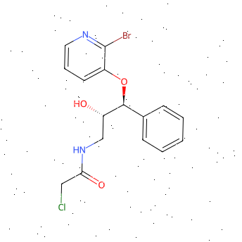 O=C(CCl)NC[C@H](O)[C@@H](Oc1cccnc1Br)c1ccccc1